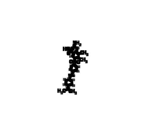 Cc1c(S(=O)(=O)c2ccc(N=Nc3ccc(N(C)C)cc3)cc2)cc(S(=O)(=O)O)c(N=NN)c1C